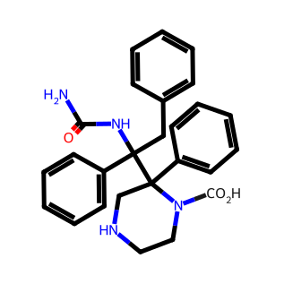 NC(=O)NC(Cc1ccccc1)(c1ccccc1)C1(c2ccccc2)CNCCN1C(=O)O